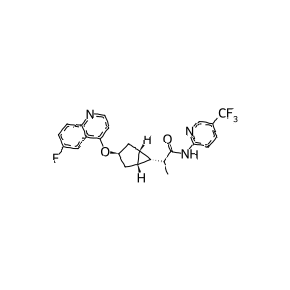 CC(C(=O)Nc1ccc(C(F)(F)F)cn1)[C@@H]1[C@@H]2C[C@@H](Oc3ccnc4ccc(F)cc34)C[C@@H]21